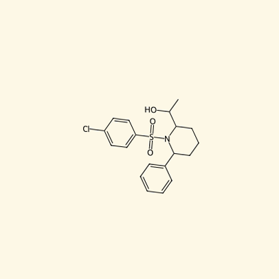 CC(O)C1CCCC(c2ccccc2)N1S(=O)(=O)c1ccc(Cl)cc1